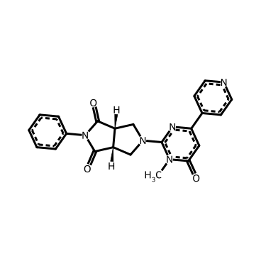 Cn1c(N2C[C@@H]3C(=O)N(c4ccccc4)C(=O)[C@@H]3C2)nc(-c2ccncc2)cc1=O